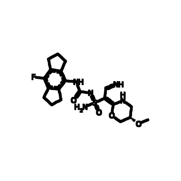 CO[C@H]1CN/C(=C(\C=N)S(N)(=O)=NC(=O)Nc2c3c(c(F)c4c2CCC4)CCC3)OC1